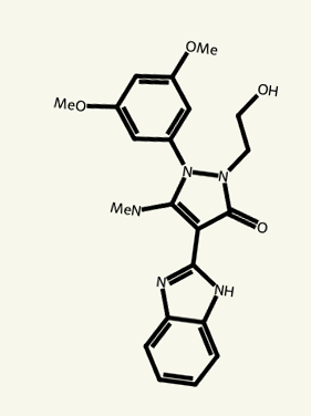 CNc1c(-c2nc3ccccc3[nH]2)c(=O)n(CCO)n1-c1cc(OC)cc(OC)c1